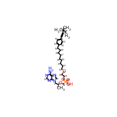 C[C@H](Cn1cnc2c(N)ncnc21)OCP(=O)(O)OCCOCCCCCCCCCc1ccc(C#CC(C)(C)C)cc1